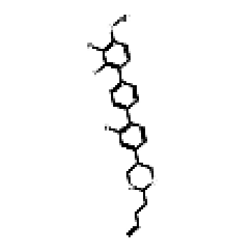 C=CCCC1OCC(c2ccc(-c3ccc(-c4ccc(OCCC)c(F)c4F)cc3)c(F)c2)CO1